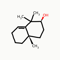 CC1(C)C2=CCCC[C@@]2(C)CC[C@@H]1O